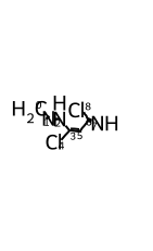 C=NN/C(Cl)=C\C(=N)Cl